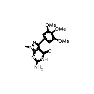 COc1cc(-c2nn(C)c3nc(N)[nH]c(=O)c23)cc(OC)c1OC